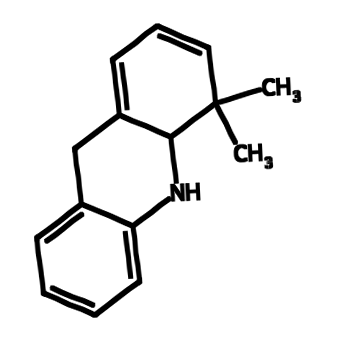 CC1(C)C=CC=C2Cc3ccccc3NC21